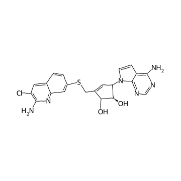 Nc1nc2cc(SCC3=CC(n4ccc5c(N)ncnc54)[C@@H](O)C3O)ccc2cc1Cl